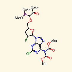 COC(=O)C(OCC1CC(F)C(n2cnc3c(N(C(=O)OC(C)(C)C)C(=O)OC(C)(C)C)nc(Cl)nc32)O1)P(OC)OC